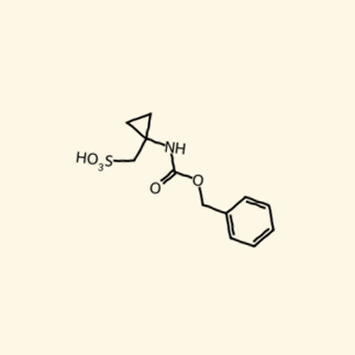 O=C(NC1(CS(=O)(=O)O)CC1)OCc1ccccc1